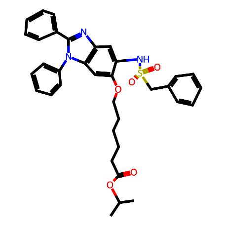 CC(C)OC(=O)CCCCCOc1cc2c(cc1NS(=O)(=O)Cc1ccccc1)nc(-c1ccccc1)n2-c1ccccc1